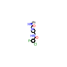 CC(C)NC(=O)CN1CCC(CNC(=O)c2cc(F)cc(Cl)c2)CC1